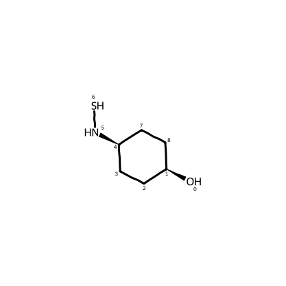 O[C@H]1CC[C@@H](NS)CC1